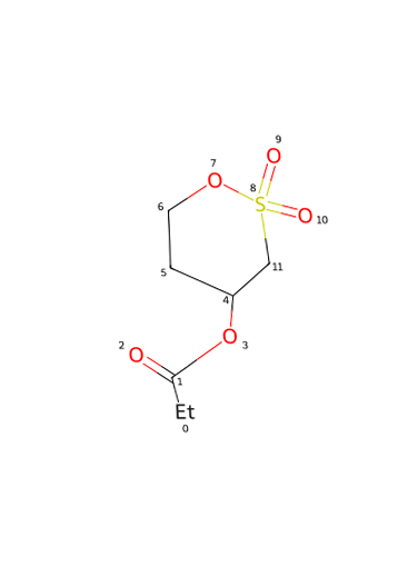 CCC(=O)OC1CCOS(=O)(=O)C1